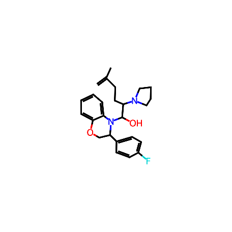 C=C(C)CCC(C(O)N1c2ccccc2OCC1c1ccc(F)cc1)N1CCCC1